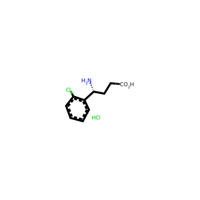 Cl.N[C@H](CCC(=O)O)c1ccccc1Cl